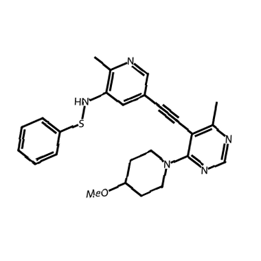 COC1CCN(c2ncnc(C)c2C#Cc2cnc(C)c(NSc3ccccc3)c2)CC1